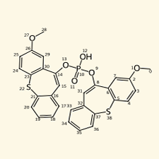 COc1ccc2c(c1)C(OP(=O)(O)OC1=Cc3ccccc3Sc3ccc(OC)cc31)=Cc1ccccc1S2